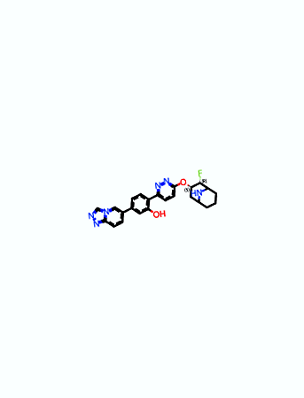 Oc1cc(-c2ccc3nncn3c2)ccc1-c1ccc(O[C@H]2CC3CCCC(N3)[C@H]2F)nn1